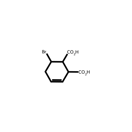 O=C(O)C1C=CCC(Br)C1C(=O)O